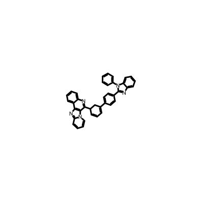 C1=CC(c2nc3ccccc3c3nc4ccccn4c23)CC(c2ccc(-c3nc4ccccc4n3-c3ccccc3)cc2)=C1